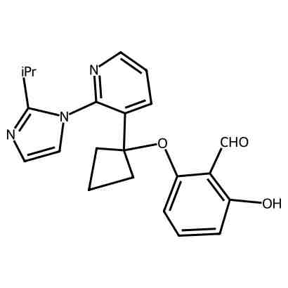 CC(C)c1nccn1-c1ncccc1C1(Oc2cccc(O)c2C=O)CCC1